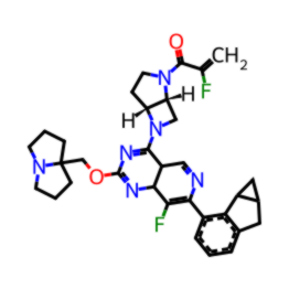 C=C(F)C(=O)N1CC[C@@H]2[C@H]1CN2C1=NC(OCC23CCCN2CCC3)=NC2C(F)=C(c3cccc4c3C3CC3C4)N=CC12